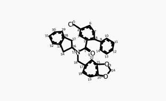 O=C(c1cc(Cl)ccc1-c1ccccc1)N(Cc1ccc2c(c1)OCO2)C1Cc2ccccc2C1